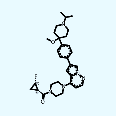 COC1(c2ccc(-c3cc4c(N5CCN(C(=O)[C@H]6C[C@@H]6F)CC5)ccnn4c3)cc2)CCN(C(C)C)CC1